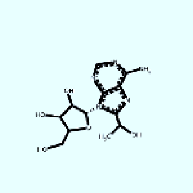 CC(O)c1nc2c(N)ncnc2n1[C@@H]1OC(CO)[C@@H](O)C1O